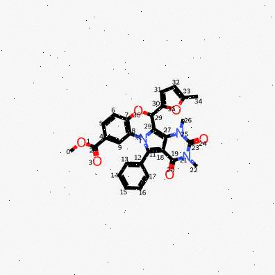 COC(=O)c1ccc2c(c1)-n1c(-c3ccccc3)c3c(=O)n(C)c(=O)n(C)c3c1C(c1ccc(C)o1)O2